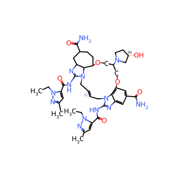 CCn1nc(C)cc1C(=O)NC1=NC2CC(C(N)=O)CCC3OCC(N4CC[C@H](O)C4)COc4cc(C(N)=O)cc5nc(NC(=O)c6cc(C)nn6CC)n(c45)C/C=C/CN1C23